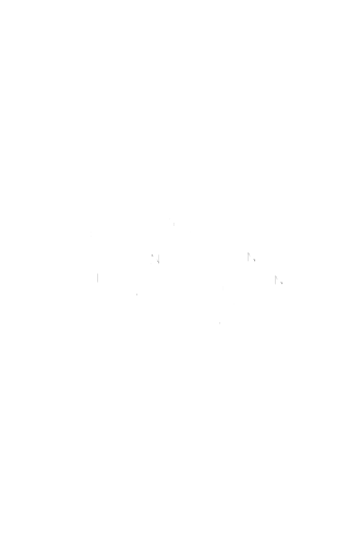 Cc1c(F)c(Oc2ccc(-n3ccnc3)cc2)nc(Oc2ccc3c(c2)OCO3)c1F